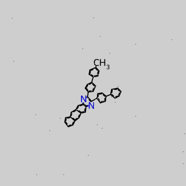 Cc1ccc(-c2ccc(-c3nc4cc5cc6ccccc6cc5cc4nc3-c3ccc(-c4ccccc4)cc3)cc2)cc1